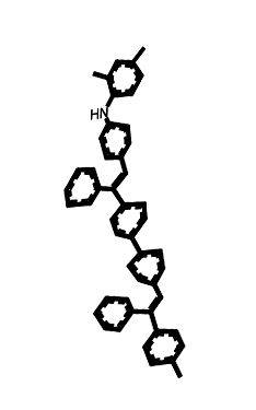 Cc1ccc(C(=Cc2ccc(-c3ccc(C(=Cc4ccc(Nc5ccc(C)cc5C)cc4)c4ccccc4)cc3)cc2)c2ccccc2)cc1